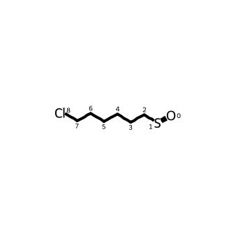 O=[S+]CCCCCCCl